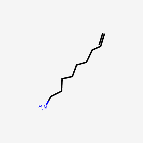 C=CCCCCCCCN